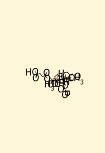 C[C@]12C=CC(=O)C=C1CC[C@@H]1[C@@H]2C(OC(=O)c2ccco2)C[C@@]2(C)[C@H]1CC[C@]2(O)C(=O)COC(=O)CCC(=O)O